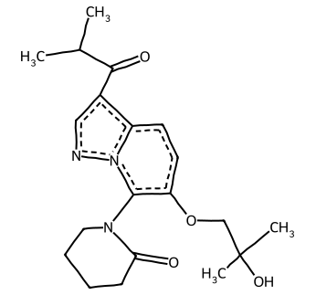 CC(C)C(=O)c1cnn2c(N3CCCCC3=O)c(OCC(C)(C)O)ccc12